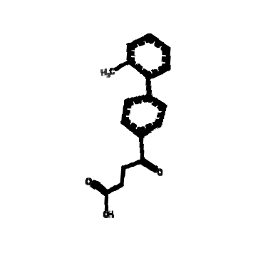 Cc1ccccc1-c1ccc(C(=O)CCC(=O)O)cc1